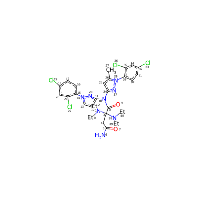 CCN(CC)C(CC(N)=O)(C(=O)N(c1ccn(-c2ccc(Cl)cc2Cl)n1)c1cc(C)n(-c2ccc(Cl)cc2Cl)n1)N(CC)CC